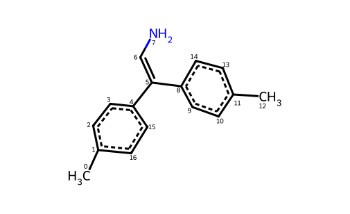 Cc1ccc(C(=CN)c2ccc(C)cc2)cc1